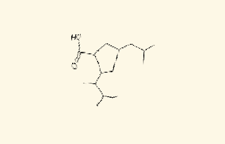 CC(C)CC1CC(C(=O)O)C(C(C)C(C)C)C1